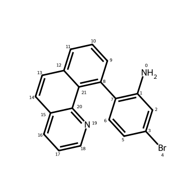 Nc1cc(Br)ccc1-c1cccc2ccc3cccnc3c12